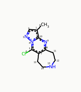 Cc1cnn2c(Cl)c3c(nc12)CCNCC3